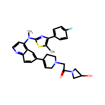 CN(c1nc(-c2ccc(F)cc2)c(C#N)s1)c1ccnc2ccc(C3=CCN(CC(=O)N4CC(O)C4)CC3)cc12